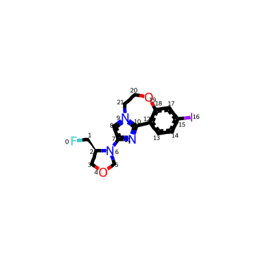 FC[C@@H]1COCN1c1cn2c(n1)-c1ccc(I)cc1OCC2